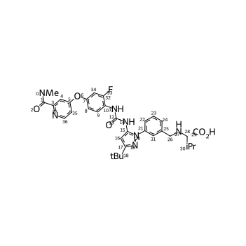 CNC(=O)c1cc(Oc2ccc(NC(=O)Nc3cc(C(C)(C)C)nn3-c3cccc(CN[C@H](C(=O)O)C(C)C)c3)c(F)c2)ccn1